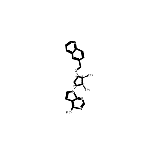 Nc1ncnc2c1ccn2[C@@H]1C[C@H](OCc2ccc3ncccc3c2)[C@@H](O)[C@H]1O